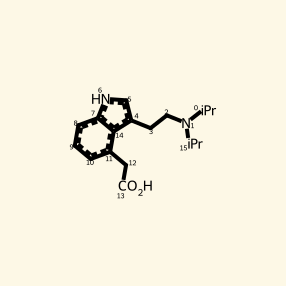 CC(C)N(CCc1c[nH]c2cccc(CC(=O)O)c12)C(C)C